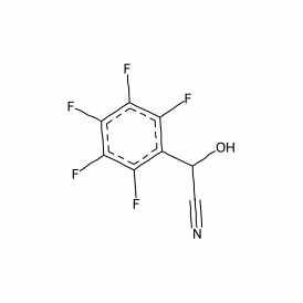 N#CC(O)c1c(F)c(F)c(F)c(F)c1F